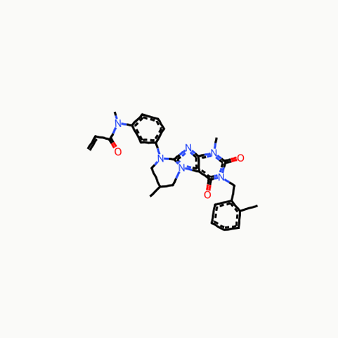 C=CC(=O)N(C)c1cccc(N2CC(C)Cn3c2nc2c3c(=O)n(Cc3ccccc3C)c(=O)n2C)c1